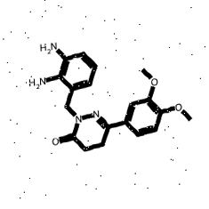 COc1ccc(C2=NN(Cc3cccc(N)c3N)C(=O)CC2)cc1OC